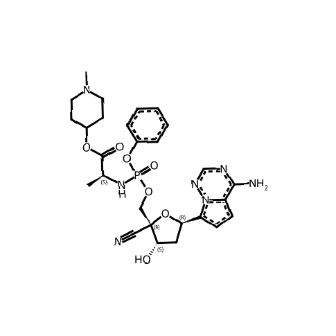 C[C@H](NP(=O)(OC[C@@]1(C#N)O[C@@H](c2ccc3c(N)ncnn23)C[C@@H]1O)Oc1ccccc1)C(=O)OC1CCN(C)CC1